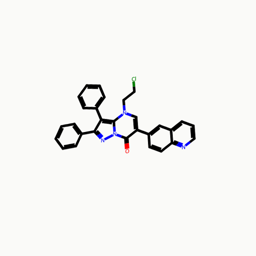 O=c1c(-c2ccc3ncccc3c2)cn(CCCl)c2c(-c3ccccc3)c(-c3ccccc3)nn12